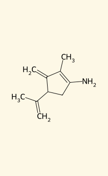 C=C(C)C1CC(N)=C(C)C1=C